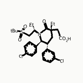 CC[C@@H](CS(=O)(=O)C(C)(C)C)N1C(=O)[C@](CC)(CC(=O)O)C[C@H](c2cccc(Cl)c2)[C@H]1c1ccc(Cl)cc1